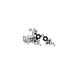 COC(=O)c1cc(Oc2ccc(S(C)(=O)=O)cc2)cc(OC(C)(C)O[Si](C)(C)C(C)(C)C)c1